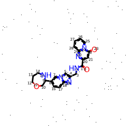 O=C(NCc1cn2cc(C3COCCCN3)ccc2n1)c1cc(=O)n2ccccc2n1